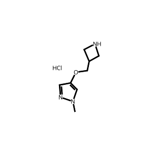 Cl.Cn1cc(OCC2CNC2)cn1